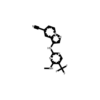 CNc1nc(Nc2cnn3ccc(C#N)cc23)ncc1C(F)(F)F